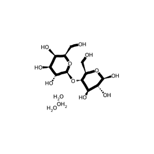 O.O.O.OC[C@H]1O[C@@H](O[C@H]2[C@H](O)[C@@H](O)[C@H](O)O[C@@H]2CO)[C@H](O)[C@@H](O)[C@H]1O